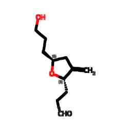 C=C1C[C@H](CCCO)O[C@H]1CCC=O